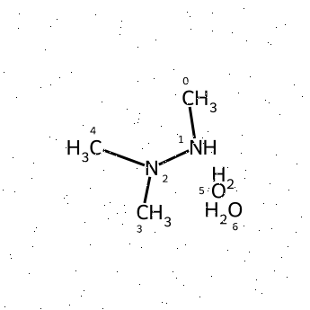 CNN(C)C.O.O